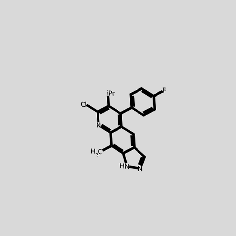 Cc1c2nc(Cl)c(C(C)C)c(-c3ccc(F)cc3)c2cc2cn[nH]c12